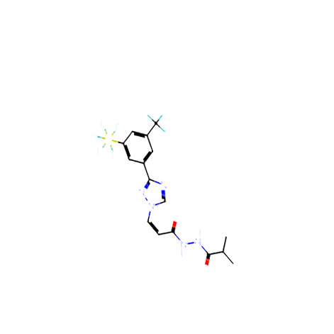 CC(C)C(=O)NNC(=O)/C=C\n1cnc(-c2cc(C(F)(F)F)cc(S(F)(F)(F)(F)F)c2)n1